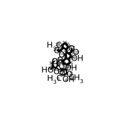 COC1[C@@H](O)C(C)O[C@H](OC2[C@H](Oc3cccc4c(O)c5c(=O)oc6ccc(C)c7c(=O)oc(c34)c5c67)OC=C(O)[C@@H]2O)[C@@H]1O